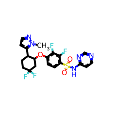 Cn1nccc1C1CCC(F)(F)CC1Oc1ccc(S(=O)(=O)Nc2ccncn2)c(F)c1F